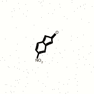 O=C1C=c2ccc([N+](=O)[O-])cc2=C1